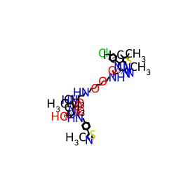 Cc1ncsc1-c1ccc(CNC(=O)[C@@H]2C[C@@H](O)CN2C(=O)[C@@H](NC(=O)CCNCCOCCOCCNC(=O)C[C@@H]2N=C(c3ccc(Cl)cc3)c3c(sc(C)c3C)-n3c(C)nnc32)C(C)(C)C)cc1